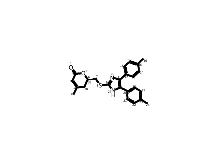 CC1=CC(=O)O[C@@H](CSc2nc(-c3ccc(C)cc3)c(-c3ccc(C)cc3)[nH]2)C1